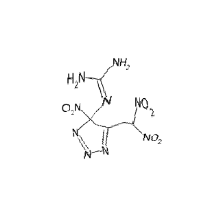 NC(N)=NC1([N+](=O)[O-])N=NN=C1C([N+](=O)[O-])[N+](=O)[O-]